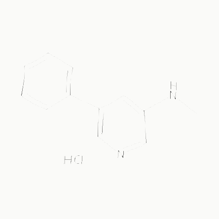 CNc1cncc(-c2ccccc2)c1.Cl